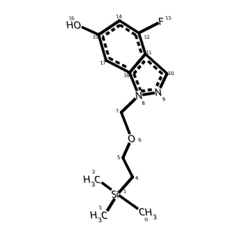 C[Si](C)(C)CCOCn1ncc2c(F)cc(O)cc21